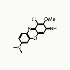 COc1c(Cl)c2nc3ccc(N(C)C)cc3oc-2cc1=N